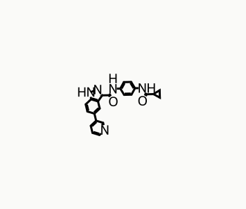 O=C(Nc1ccc(NC(=O)C2CC2)cc1)c1n[nH]c2ccc(-c3cccnc3)cc12